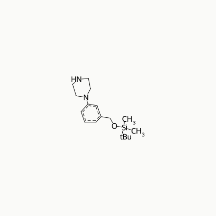 CC(C)(C)[Si](C)(C)OCc1cccc(N2CCNCC2)c1